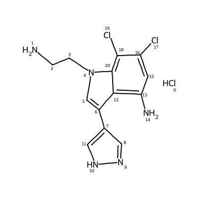 Cl.NCCn1cc(-c2cn[nH]c2)c2c(N)cc(Cl)c(Cl)c21